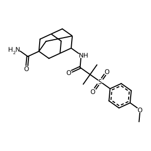 COc1ccc(S(=O)(=O)C(C)(C)C(=O)NC2C3CC4CC2CC(C(N)=O)(C4)C3)cc1